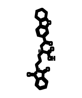 O=C(C[C@H](CCCN1C(=O)c2ccccc2C1=O)C(=O)O)c1ccc2c3c(oc2c1)CCCC3